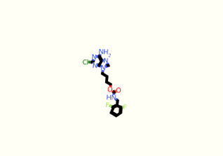 Nc1nc(Cl)nc2c1ncn2CCCCOC(=O)NCc1c(F)cccc1F